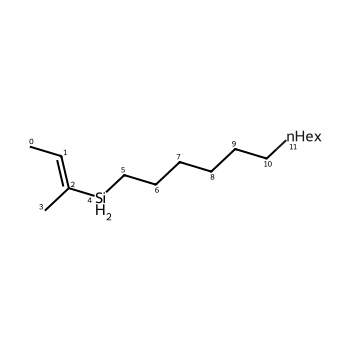 CC=C(C)[SiH2]CCCCCCCCCCCC